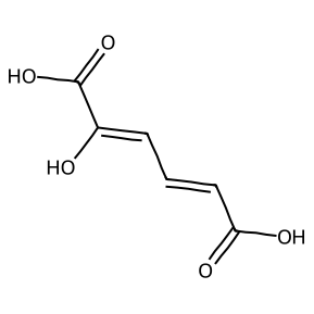 O=C(O)C=CC=C(O)C(=O)O